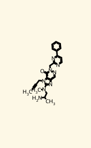 CC#CCn1c(N(C)CC(C)N)nc2cnn(Cc3nccc(-c4ccccc4)n3)c(=O)c21